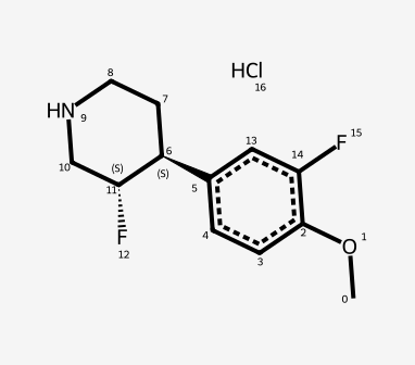 COc1ccc([C@@H]2CCNC[C@H]2F)cc1F.Cl